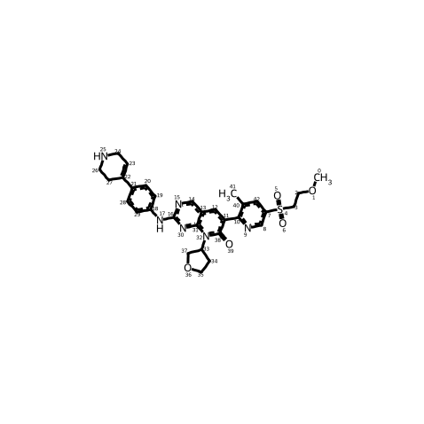 COCCS(=O)(=O)c1cnc(-c2cc3cnc(Nc4ccc(C5=CCNCC5)cc4)nc3n(C3CCOC3)c2=O)c(C)c1